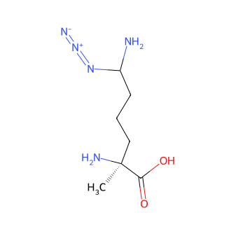 C[C@](N)(CCCC(N)N=[N+]=[N-])C(=O)O